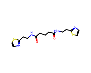 O=C(CCCC(=O)NCCc1nccs1)NCCc1nccs1